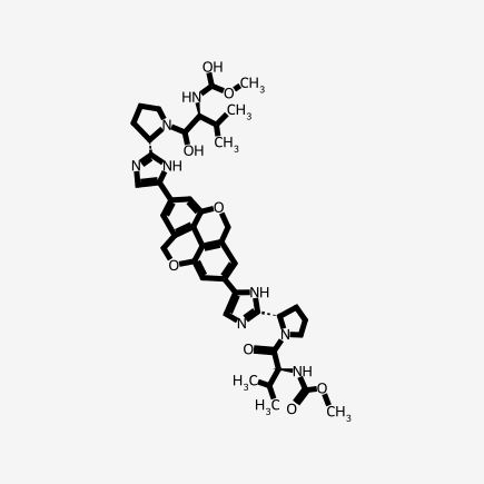 COC(=O)N[C@H](C(=O)N1CCC[C@H]1c1ncc(-c2cc3c4c(c2)OCc2cc(-c5cnc([C@@H]6CCCN6C(O)[C@@H](NC(O)OC)C(C)C)[nH]5)cc(c2-4)OC3)[nH]1)C(C)C